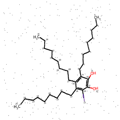 CCCCCCCCCc1c(O)c(O)c(I)c(CCCCCCCCC)c1CCCCCCCCC